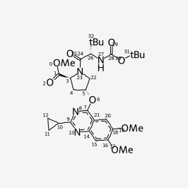 COC(=O)[C@@H]1C[C@@H](Oc2nc(C3CC3)nc3cc(OC)c(OC)cc23)CN1C(=O)[C@@H](NC(=O)OC(C)(C)C)C(C)(C)C